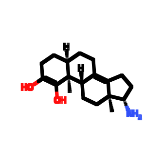 C[C@]12C(O)=C(O)CC[C@H]1CCC1=C3CC[C@H](N)[C@@]3(C)CC[C@@H]12